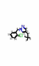 CC(C)(C)Cc1cnn(Cc2ccccc2Cl)c1